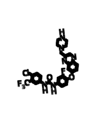 O=C(Nc1ccc(Oc2ccc3ncc(CN4CCNCC4)nc3c2)c(F)c1)Nc1ccc(Cl)c(C(F)(F)F)c1